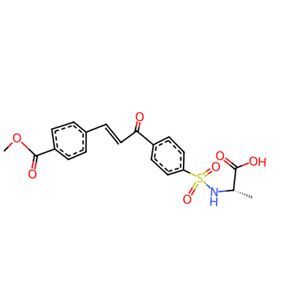 COC(=O)c1ccc(/C=C/C(=O)c2ccc(S(=O)(=O)N[C@@H](C)C(=O)O)cc2)cc1